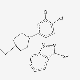 CCN1CCN(c2ccc(Cl)c(Cl)c2)CC1.Sc1nnc2ccccn12